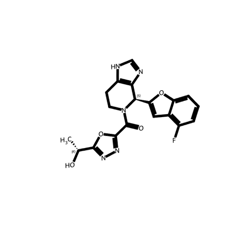 C[C@@H](O)c1nnc(C(=O)N2CCc3[nH]cnc3[C@H]2c2cc3c(F)cccc3o2)o1